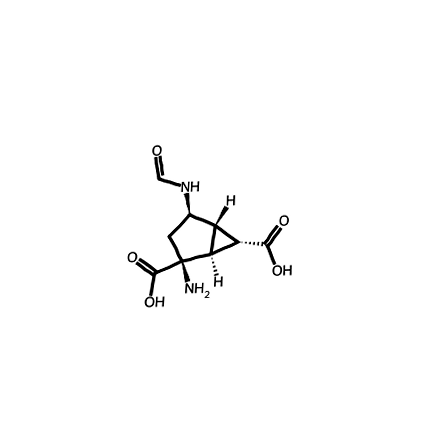 N[C@@]1(C(=O)O)C[C@@H](NC=O)[C@@H]2[C@H](C(=O)O)[C@H]21